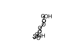 O=C(O)c1ccc(OCCOc2ccc(NS(=O)(=O)c3cccs3)cc2)cc1